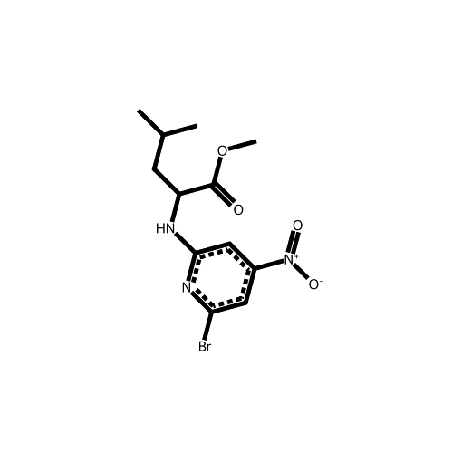 COC(=O)C(CC(C)C)Nc1cc([N+](=O)[O-])cc(Br)n1